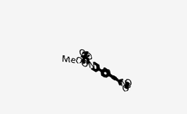 COC(=O)C(C)(CCN1CC=C(c2ccc(C#CC3CN(S(C)(=O)=O)C3)cc2)CC1)S(C)(=O)=O